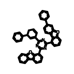 C1=CC(c2nc(-c3cccc4c3oc3ccccc34)nc(-c3cccc4oc5cc(-c6ccccc6)ccc5c34)n2)=CC(c2ccccc2)C1